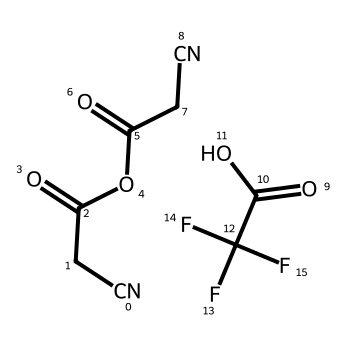 N#CCC(=O)OC(=O)CC#N.O=C(O)C(F)(F)F